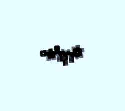 O=C(NCC(O)CNc1cc[c]cc1)c1ccc(Cl)s1